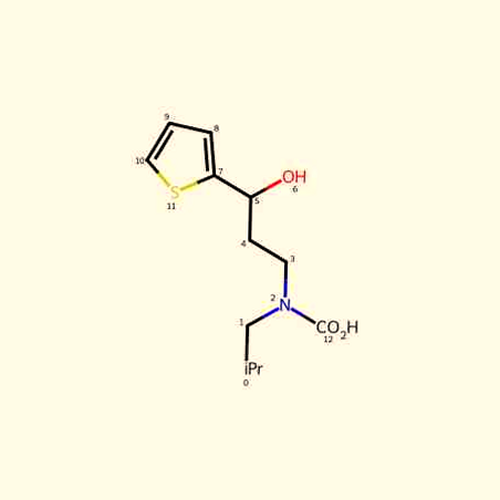 CC(C)CN(CCC(O)c1cccs1)C(=O)O